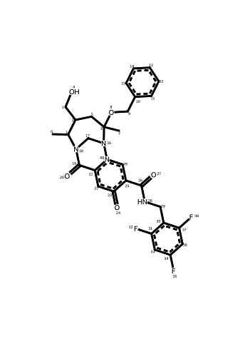 CC1C(CO)CC(C)(OCc2ccccc2)N2CN1C(=O)c1cc(=O)c(C(=O)NCc3c(F)cc(F)cc3F)cn12